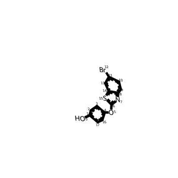 Oc1ccc(Oc2nc3ccc(Br)cc3s2)cc1